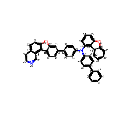 c1ccc(-c2ccc(N(c3ccc(-c4ccc5c(c4)oc4ccc6ccncc6c45)cc3)c3cccc4oc5ccccc5c34)cc2)cc1